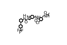 CC(C)C(=O)NCc1ccc(Cl)c(C(=O)Nc2ccc3c(c2)cc(C(=O)Nc2cccc(-c4ccc(C(F)(F)F)cc4)c2)n3C)c1